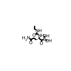 CCNC(=O)N[C@@H](CCC(N)=O)C(=O)B(O)O